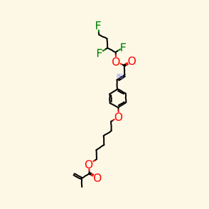 C=C(C)C(=O)OCCCCCCOc1ccc(/C=C/C(=O)OC(F)C(F)CCF)cc1